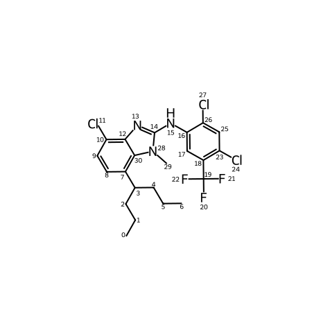 CCCC(CCC)c1ccc(Cl)c2nc(Nc3cc(C(F)(F)F)c(Cl)cc3Cl)n(C)c12